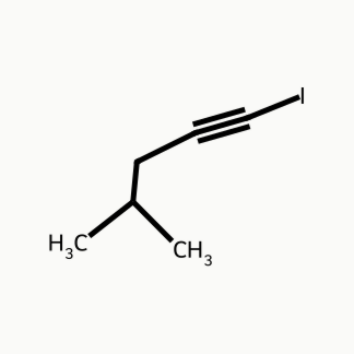 CC(C)CC#CI